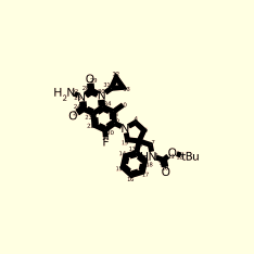 Cc1c(N2CCC(CNC(=O)OC(C)(C)C)(c3ccccc3)C2)c(F)cc2c(=O)n(N)c(=O)n(C3CC3)c12